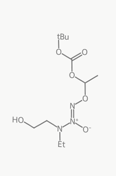 CCN(CCO)/[N+]([O-])=N/OC(C)OC(=O)OC(C)(C)C